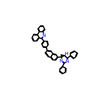 c1ccc(C2=NC3(c4ccc5ccc(-c6ccc(-c7nc8ccccc8c8ccccc78)cc6)cc5c4)C[C@@H]3C(c3ccccc3)=N2)cc1